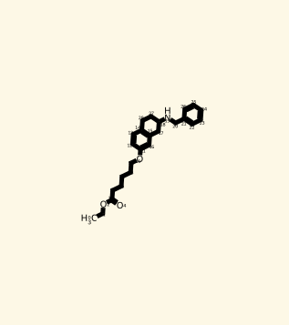 CCOC(=O)CCCCCOc1ccc2c(c1)CC(NCc1ccccc1)CC2